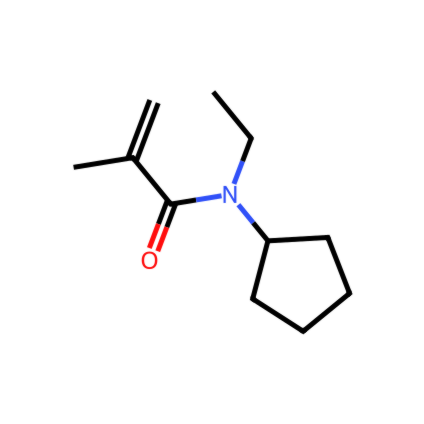 C=C(C)C(=O)N(CC)C1CCCC1